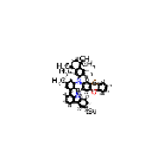 Cc1cc2c3c(c1)N(c1cc4c(cc1C)C(C)(C)CCC4(C)C)c1cc4c(cc1B3n1c3ccc(C(C)(C)C)cc3c3cccc-2c31)Oc1ccccc1S4